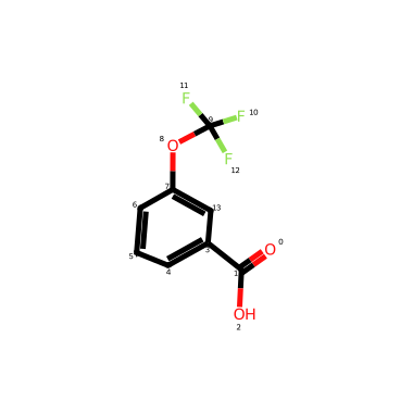 O=C(O)c1c[c]cc(OC(F)(F)F)c1